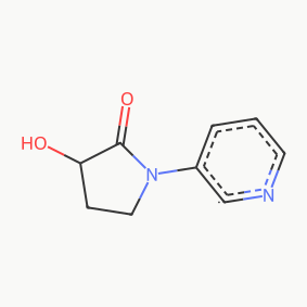 O=C1C(O)CCN1c1[c]nccc1